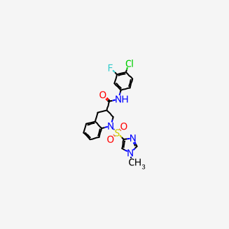 Cn1cnc(S(=O)(=O)N2CC(C(=O)Nc3ccc(Cl)c(F)c3)Cc3ccccc32)c1